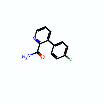 NC(=O)c1ncccc1-c1ccc(F)cc1